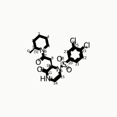 C[C@H]1CCCCN1C(=O)C[C@@H]1C(=O)NC=CN1S(=O)(=O)c1ccc(Cl)c(Cl)c1